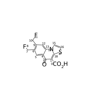 O=C(O)c1c(=O)c2cc(CF)c(CF)cc2n2ccsc12